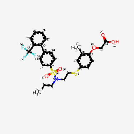 CCCN(CCSc1ccc(OCC(=O)O)c(C)c1)S(=O)(=O)c1ccc(-c2ccccc2C(F)(F)F)cc1